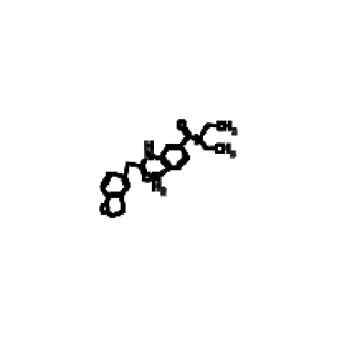 CCN(CC)C(=O)c1ccc(N)c(NC(=O)Cc2ccc3c(c2)CCO3)c1